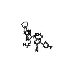 CCC1N=C2SC(N3CCCCC3)=NN2C1N(C)c1nc(-c2ccc(F)cc2)c(C#N)s1